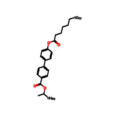 CCCCCCCCCCCCCCCC(=O)Oc1ccc(-c2ccc(C(=O)OC(C)CCCCCC)cc2)cc1